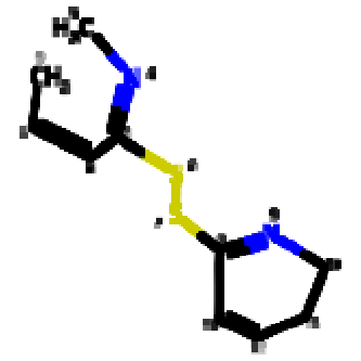 C/C=C\C(=N/C)SSC1=NCCC=C1